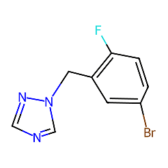 Fc1ccc(Br)cc1Cn1cncn1